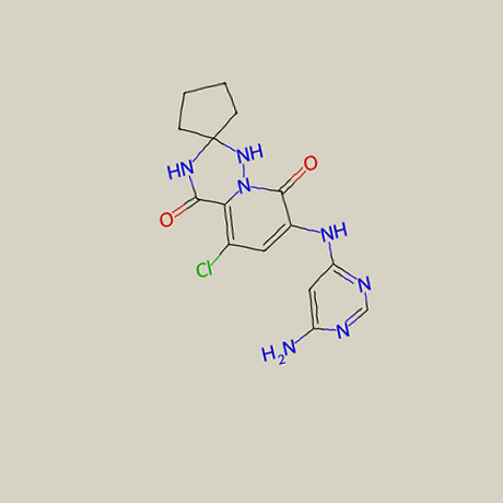 Nc1cc(Nc2cc(Cl)c3n(c2=O)NC2(CCCC2)NC3=O)ncn1